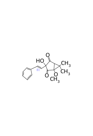 COC12C(=O)C(O)(/C=C/c3ccccc3)C(=O)C1C2(C)C